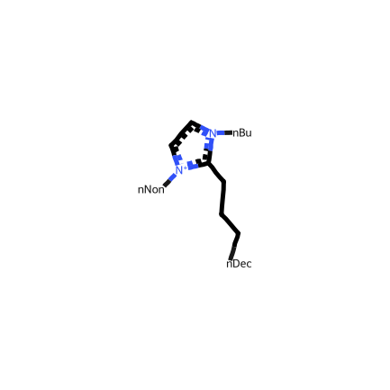 CCCCCCCCCCCCCc1n(CCCC)cc[n+]1CCCCCCCCC